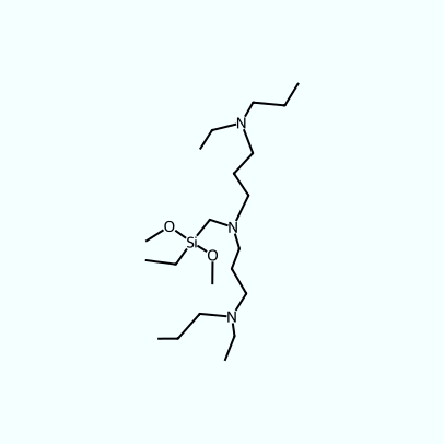 CCCN(CC)CCCN(CCCN(CC)CCC)C[Si](CC)(OC)OC